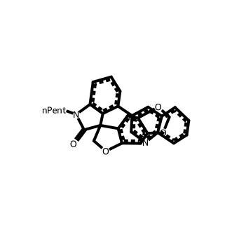 CCCCCN1C(=O)C2(COc3cc4c(cc32)OCO4)c2c(-c3cnc4ccccc4c3)cccc21